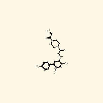 C=CC(=O)N1CCN(C(=O)CNc2cc(-c3ccc(C)cc3)c(Cl)cc2O)CC1